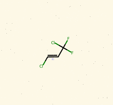 FC(F)(Cl)/C=C/Cl